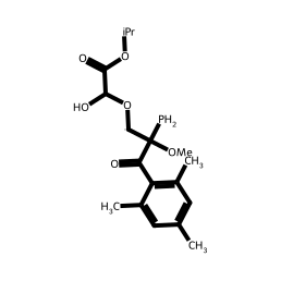 COC(P)([CH]OC(O)C(=O)OC(C)C)C(=O)c1c(C)cc(C)cc1C